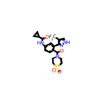 O=C(Nc1ccc(C(=O)N2CCS(=O)(=O)CC2)c(-c2n[nH]cc2C(F)(F)F)c1)C1CC1